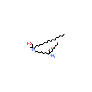 CCCCCCCC(N)(CO)CCCCCC.CCCCCCCCCCCCCCCCC(C)(N)CO